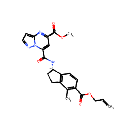 C=CCOC(=O)c1ccc2c(c1C)CC[C@@H]2NC(=O)c1cc(C(=O)OC)nc2ccnn12